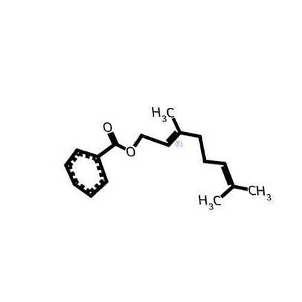 CC(C)=CCC/C(C)=C/COC(=O)c1ccccc1